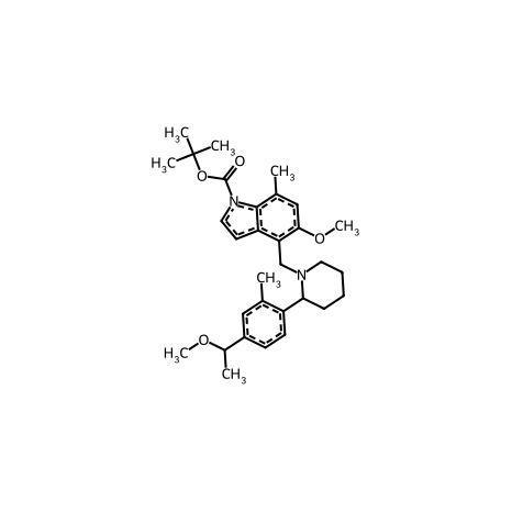 COc1cc(C)c2c(ccn2C(=O)OC(C)(C)C)c1CN1CCCCC1c1ccc(C(C)OC)cc1C